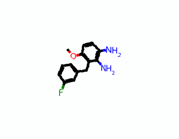 COc1ccc(N)c(N)c1Cc1cccc(F)c1